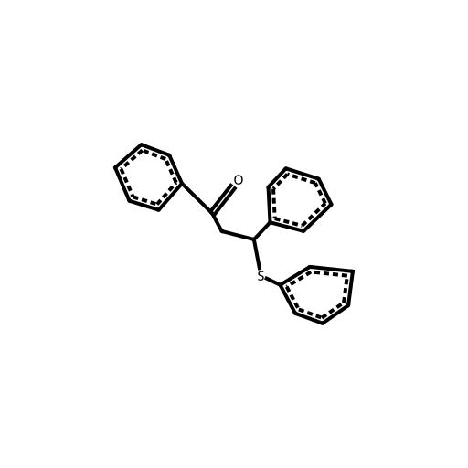 O=C(CC(Sc1ccccc1)c1ccccc1)c1ccccc1